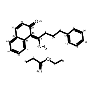 CCOC(=O)CC.NC(CCCc1ccccc1)=C1C(=O)C=Cc2ccccc21